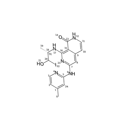 Cc1ccnc(Nc2cc3cc[nH]c(=O)c3c(N[C@@H](C)C(O)I)n2)c1